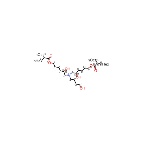 CCCCCCCCC(CCCCCC)C(=O)OCCCC[C@@H](O)CN(CCCCO)C[C@H](O)CCCCOC(=O)C(CCCCCC)CCCCCCCC